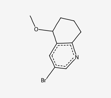 COC1CCCc2ncc(Br)cc21